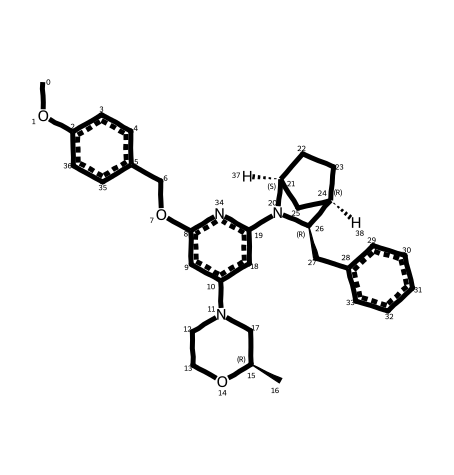 COc1ccc(COc2cc(N3CCO[C@H](C)C3)cc(N3[C@H]4CC[C@H](C4)[C@H]3Cc3ccccc3)n2)cc1